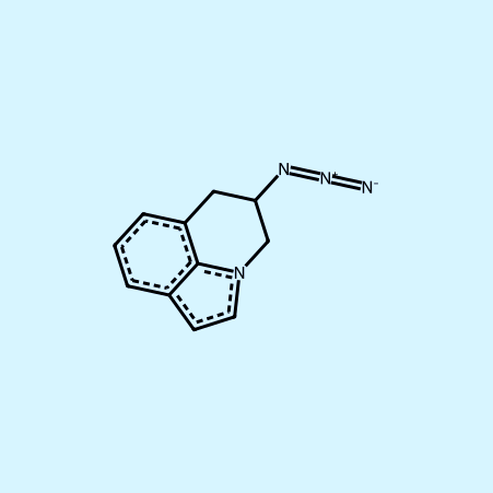 [N-]=[N+]=NC1Cc2cccc3ccn(c23)C1